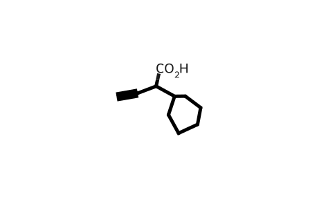 C#CC(C(=O)O)C1CCCCC1